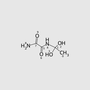 CC(O)(O)NC(=O)C(N)=O